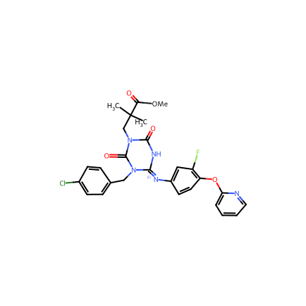 COC(=O)C(C)(C)Cn1c(=O)[nH]/c(=N\c2ccc(Oc3ccccn3)c(F)c2)n(Cc2ccc(Cl)cc2)c1=O